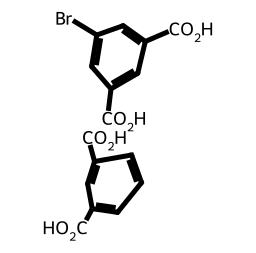 O=C(O)c1cc(Br)cc(C(=O)O)c1.O=C(O)c1cccc(C(=O)O)c1